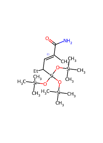 CCC(/C=C(\C)C(N)=O)[Si](O[Si](C)(C)C)(O[Si](C)(C)C)O[Si](C)(C)C